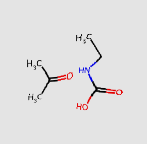 CC(C)=O.CCNC(=O)O